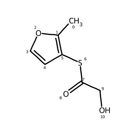 Cc1occc1SC(=O)CO